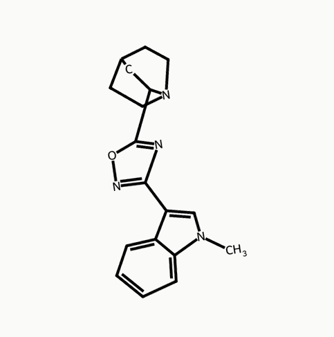 Cn1cc(-c2noc(C3CC4CCN3CC4)n2)c2ccccc21